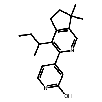 CCC(C)c1c(-c2ccnc(O)c2)ncc2c1CCC2(C)C